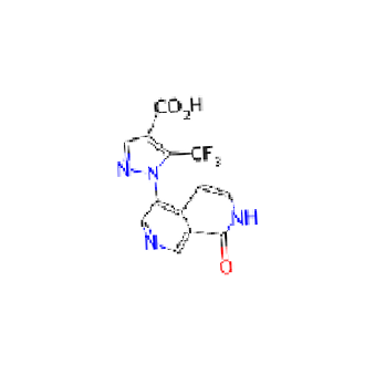 O=C(O)c1cnn(-c2cncc3c(=O)[nH]ccc23)c1C(F)(F)F